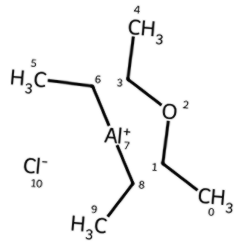 CCOCC.C[CH2][Al+][CH2]C.[Cl-]